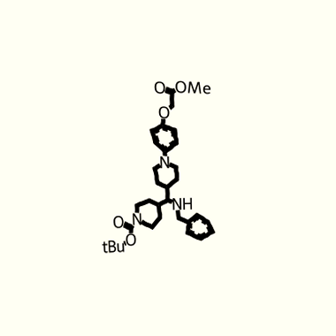 COC(=O)COc1ccc(N2CCC(C(NCc3ccccc3)C3CCN(C(=O)OC(C)(C)C)CC3)CC2)cc1